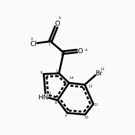 O=C(Cl)C(=O)c1c[nH]c2cccc(Br)c12